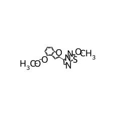 COCOc1cccc2oc(-c3cnc4sc(OC)nn34)cc12